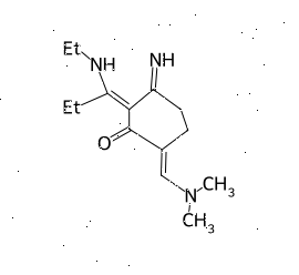 CCN/C(CC)=C1\C(=N)CC/C(=C\N(C)C)C1=O